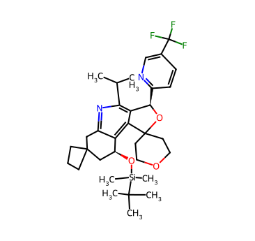 CC(C)c1nc2c(c3c1[C@@H](c1ccc(C(F)(F)F)cn1)OC31CCOCC1)[C@@H](O[Si](C)(C)C(C)(C)C)CC1(CCC1)C2